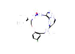 C=C(C)[C@@H]1COc2ccc(F)cc2CN(C)c2ccn3ncc(c3n2)NC(=O)N1